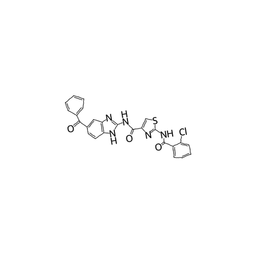 O=C(c1ccccc1)c1ccc2[nH]c(NC(=O)c3csc(NC(=O)c4ccccc4Cl)n3)nc2c1